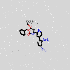 Nc1ccc(-c2ccnc(C(CCOCC(=O)O)NC(=O)OCc3ccccc3)c2)c(N)c1